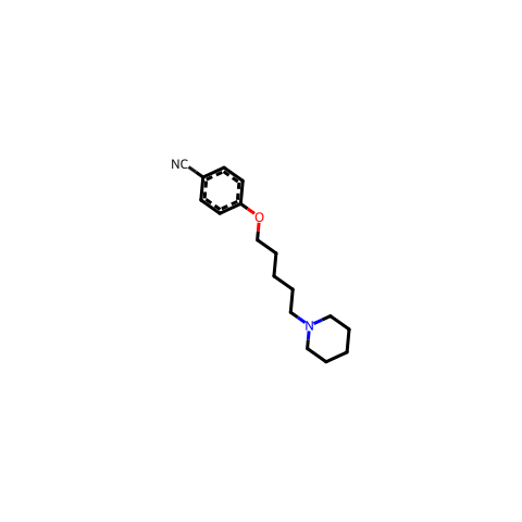 N#Cc1ccc(OCCCCCN2CCCCC2)cc1